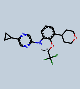 C[C@H](Oc1c(Nc2cnc(C3CC3)cn2)cccc1C1CCOCC1)C(F)(F)F